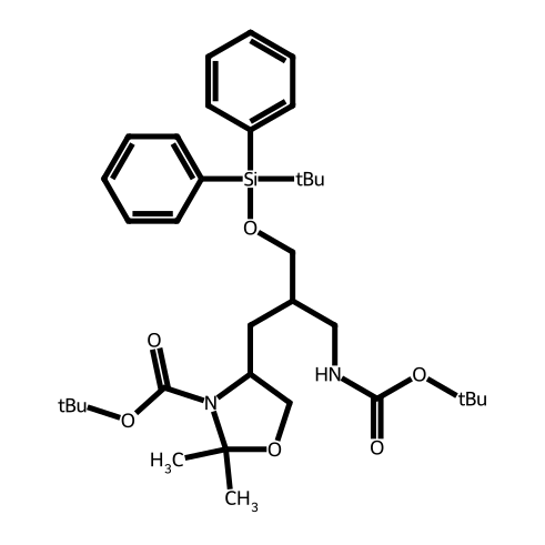 CC(C)(C)OC(=O)NCC(CO[Si](c1ccccc1)(c1ccccc1)C(C)(C)C)CC1COC(C)(C)N1C(=O)OC(C)(C)C